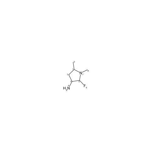 CC1CC(N)C(F)N1C